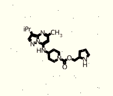 Cc1cc(NC2CCN(C(=O)OCC3CCCN3)CC2)n2ncc(C(C)C)c2n1